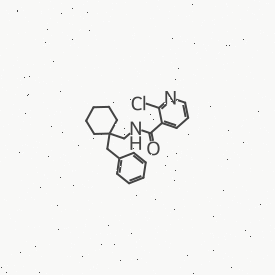 O=C(NCC1(Cc2ccccc2)CCCCC1)c1cccnc1Cl